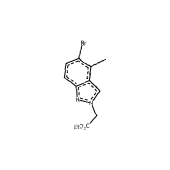 CCOC(=O)Cn1cc2c(C)c(Br)ccc2n1